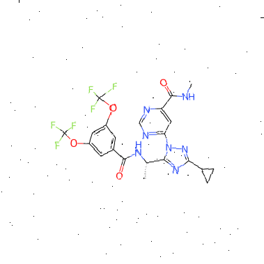 CNC(=O)c1cc(-n2nc(C3CC3)nc2[C@H](C)NC(=O)c2cc(OC(F)(F)F)cc(OC(F)(F)F)c2)ncn1